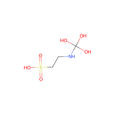 O=S(=O)(O)CCNC(O)(O)O